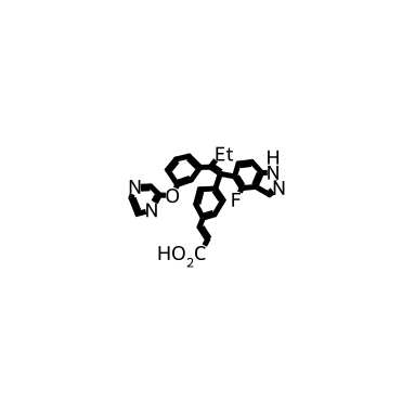 CC/C(=C(/c1ccc(/C=C/C(=O)O)cc1)c1ccc2[nH]ncc2c1F)c1cccc(Oc2cnccn2)c1